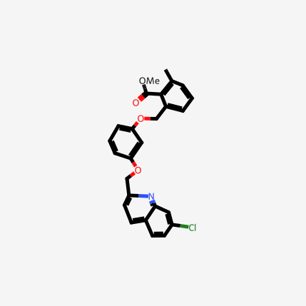 COC(=O)c1c(C)cccc1COc1cccc(OCc2ccc3ccc(Cl)cc3n2)c1